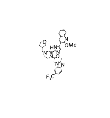 COc1nc2ccccc2cc1-c1cnc([C@@H]2CN(CC3CCOC3)CCN2C(=O)Cn2c(C)nc3ccc(C(F)(F)F)cc32)[nH]1